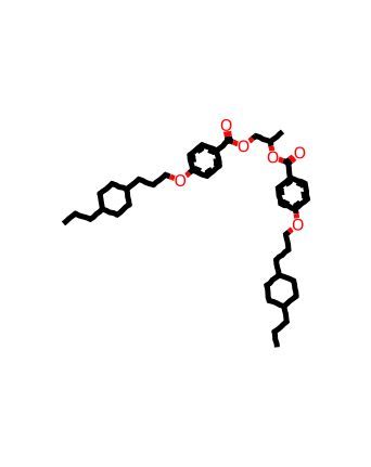 CCCC1CCC(CCCOc2ccc(C(=O)OCC(C)OC(=O)c3ccc(OCCCC4CCC(CCC)CC4)cc3)cc2)CC1